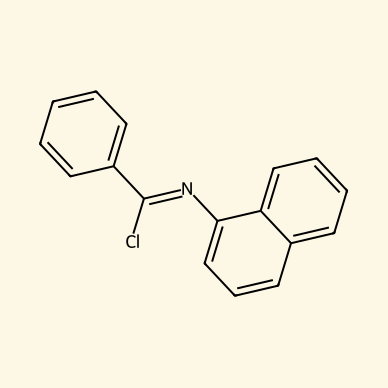 ClC(=Nc1cccc2ccccc12)c1ccccc1